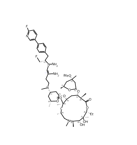 CC[C@H]1OC(=O)[C@H](C)[C@@H](O[C@H]2C[C@@](C)(OC)C[C@H](C)O2)C[C@@H](O[C@H]2C[C@@H](N(C)CC/C(N)=C/N(N)[C@H](CF)Cc3ccc(-c4ccc(F)nc4)cc3)C[C@@H](C)O2)[C@](C)(O)C[C@@H](C)CN(C)[C@H](C)[C@@H](O)[C@]1(C)O